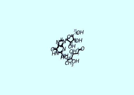 CC(O)C(O)C(O)CC=O.Nc1nc2c(ncn2[C@@H]2O[C@H](CO)[C@@H](O)[C@H]2O)c(=O)[nH]1